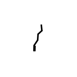 [CH]=CCC[CH]C